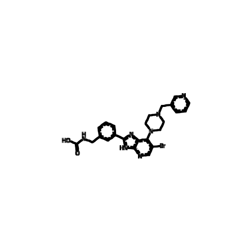 O=C(O)NCc1cccc(-c2nc3c(N4CCN(Cc5cccnc5)CC4)c(Br)cnc3[nH]2)c1